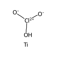 [O-][Cl+2]([O-])O.[Ti]